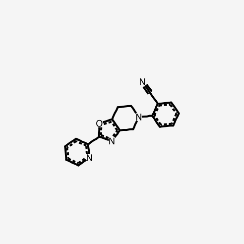 N#Cc1ccccc1N1CCc2oc(-c3ccccn3)nc2C1